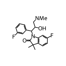 CNCC(O)C(c1cccc(F)c1)N1C(=O)C(C)(C)c2ccc(F)cc21